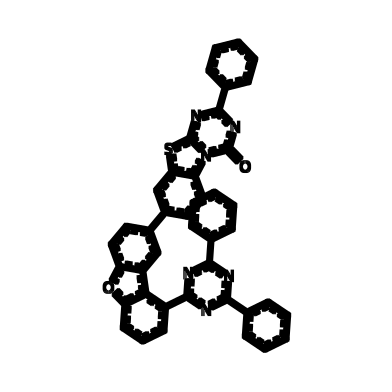 O=c1nc(-c2ccccc2)nc2sc3cc(-c4ccc5oc6cccc(-c7nc(-c8ccccc8)nc(-c8ccccc8)n7)c6c5c4)ccc3n12